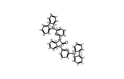 O=c1n(-c2cccc(-n3c4ccccc4c4ccccc43)n2)c2ccccc2n1-c1cccc(-n2c3ccccc3c3ccccc32)n1